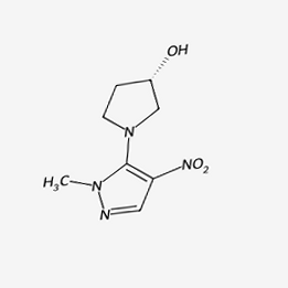 Cn1ncc([N+](=O)[O-])c1N1CC[C@H](O)C1